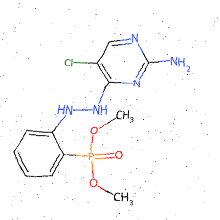 COP(=O)(OC)c1ccccc1NNc1nc(N)ncc1Cl